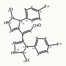 CCN1NN=C(C(=CC=O)C2=NNN(CC)N2c2ccc(F)cc2)N1c1ccc(F)cc1